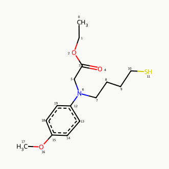 CCOC(=O)CN(CCCCS)c1ccc(OC)cc1